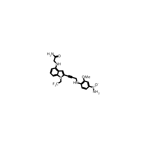 COc1cc([S+](N)[O-])ccc1NCC#Cc1cc2c(NCC(N)=O)cccc2n1CC(F)(F)F